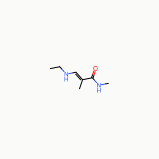 CCN/C=C(\C)C(=O)NC